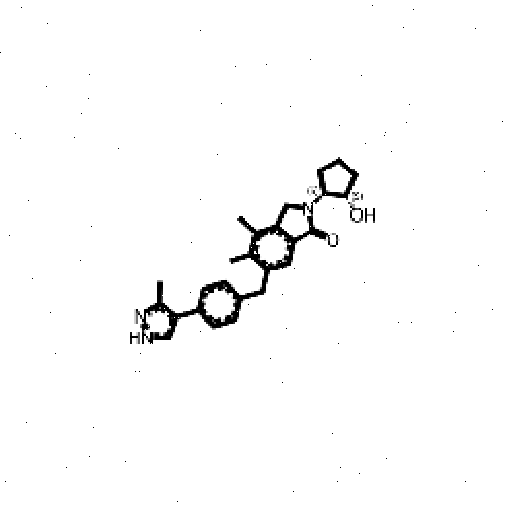 Cc1n[nH]cc1-c1ccc(Cc2cc3c(c(C)c2C)CN([C@H]2CCC[C@@H]2O)C3=O)cc1